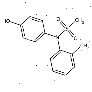 Cc1ccccc1N(c1ccc(O)cc1)S(C)(=O)=O